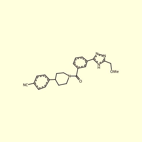 COCc1nnc(-c2cccc(C(=O)N3CCC(c4ccc(C#N)cc4)CC3)c2)[nH]1